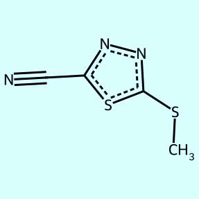 CSc1nnc(C#N)s1